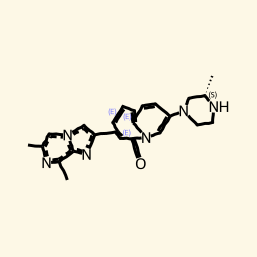 Cc1cn2cc(C3=C\C(=O)N4C=C(N5CCN[C@@H](C)C5)C=C\C4=C/C=C/3)nc2c(C)n1